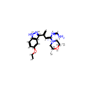 C=C(/C=C(\N=C/N)N1C[C@@H](C)O[C@@H](C)C1)c1n[nH]c2ccc(OCC)cc12